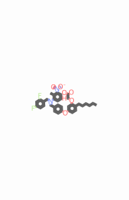 CCCCCCc1ccc(Oc2ccc(CN(Cc3ccc(F)cc3F)c3cccc([N+](=O)[O-])c3C)cc2)cc1OCC(=O)O